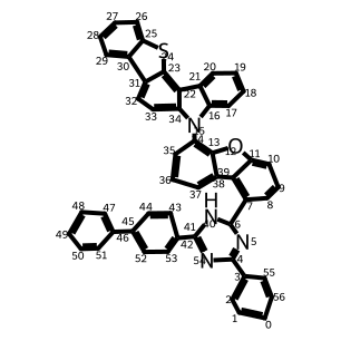 c1ccc(C2=NC(c3cccc4oc5c(-n6c7ccccc7c7c8sc9ccccc9c8ccc76)cccc5c34)NC(c3ccc(-c4ccccc4)cc3)=N2)cc1